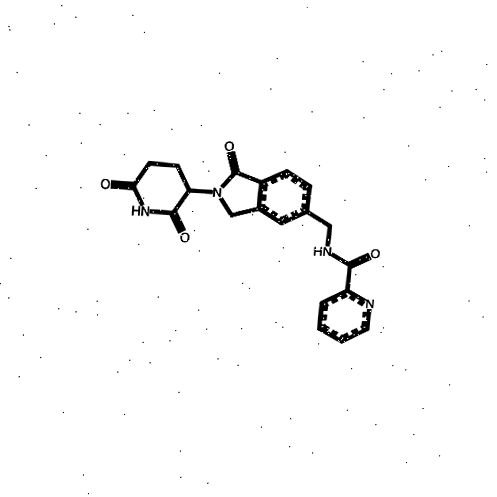 O=C1CCC(N2Cc3cc(CNC(=O)c4ccccn4)ccc3C2=O)C(=O)N1